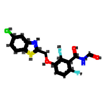 O=CNC(=O)c1c(F)ccc(OCc2nc3cc(Cl)ccc3s2)c1F